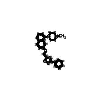 CN1CCN(c2cccc3ccc(OCc4nc(-c5ccccc5)no4)cc23)CC1